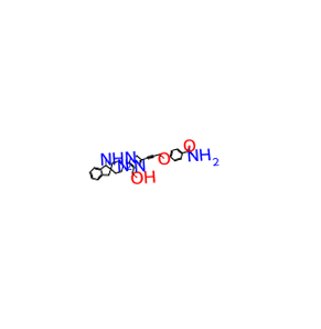 NC(=O)c1ccc(OCC#Cc2cnc(N3CCC4(CC3)Cc3ccccc3[C@H]4N)c(CO)n2)cc1